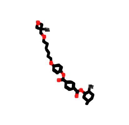 CCC1(COCCCCCCOc2ccc(OC(=O)c3ccc(C(=O)OC4CC(C)CCC4C(C)C)cc3)cc2)COC1